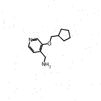 NCc1ccncc1OCC1CCCC1